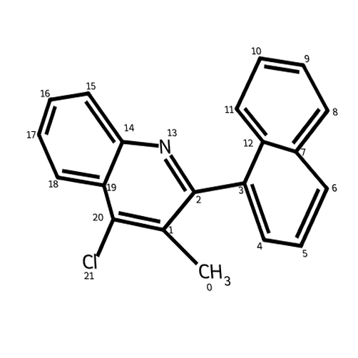 Cc1c(-c2cccc3ccccc23)nc2ccccc2c1Cl